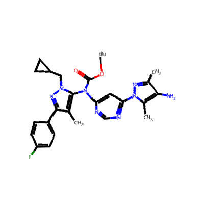 Cc1nn(-c2cc(N(C(=O)OC(C)(C)C)c3c(C)c(-c4ccc(F)cc4)nn3CC3CC3)ncn2)c(C)c1N